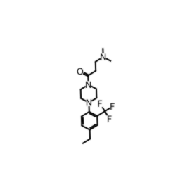 CCc1ccc(N2CCN(C(=O)CCN(C)C)CC2)c(C(F)(F)F)c1